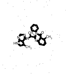 Cc1c[nH]c2ncnc(NC(C)c3nc4cccc(C)c4c(=O)n3-c3ccccc3)c12